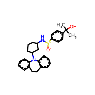 CC(C)(O)c1ccc([S+]([O-])NC2CCCC(N3c4ccccc4CCc4ccccc43)C2)cc1